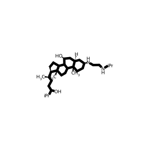 CC(C)NCCN[C@H]1CC[C@]2(C)C3CC[C@@]4(C)C(CC[C@@H]4[C@H](C)CCC(O)C(C)C)C3[C@H](O)C[C@H]2C1